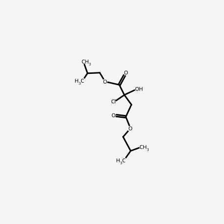 CC(C)COC(=O)CC(O)(Cl)C(=O)OCC(C)C